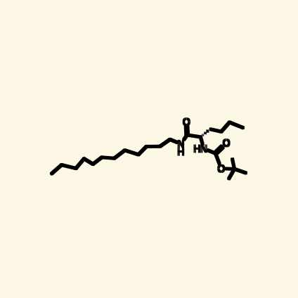 CCCCCCCCCCCCNC(=O)[C@H](CCCC)NC(=O)OC(C)(C)C